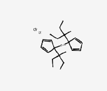 CCC(C)(CC)[C]1([Zr+2][C]2(C(C)(CC)CC)C=CC=C2)C=CC=C1.[Cl-].[Cl-]